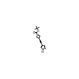 CC(C)(C)OC(=O)N1CC(C#Cc2cn[nH]c2)C1